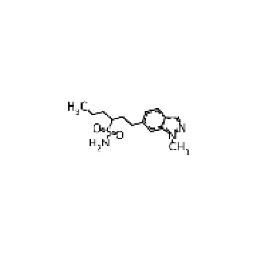 CCCC(CCc1ccc2cnn(C)c2c1)S(N)(=O)=O